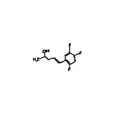 CC(O)CC=Cc1cc(F)c(F)cc1F